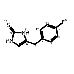 Fc1ccc(Cc2c[nH]c(=S)[nH]2)cc1